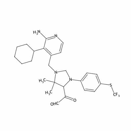 CC1(C)C(C(=O)C=O)N(c2ccc(SC(F)(F)F)cc2)CN1Cc1ccnc(N)c1C1CCCCC1